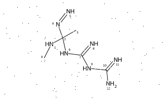 CNC(C)(N=N)NC(=N)NC(=N)N